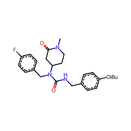 CC(C)COc1ccc(CNC(=O)N(Cc2ccc(F)cc2)C2CCN(C)C(=O)C2)cc1